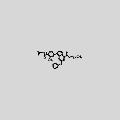 COCCNc1cc(Oc2ccccc2)nc2c(-c3ccc(C(=O)NC4CC4)c(C)c3)cnn12